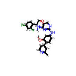 COc1cc(Nc2ncc3c(n2)N(C)C(c2ccc(F)cc2F)CO3)ccc1-c1ccnc(C)c1